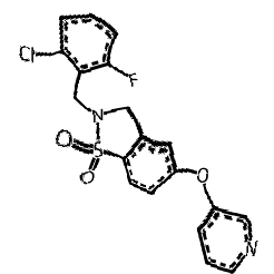 O=S1(=O)c2ccc(Oc3cccnc3)cc2CN1Cc1c(F)cccc1Cl